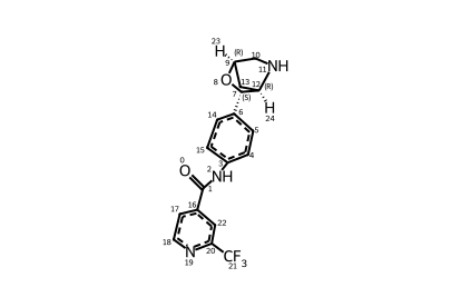 O=C(Nc1ccc([C@@H]2O[C@H]3CN[C@@H]2C3)cc1)c1ccnc(C(F)(F)F)c1